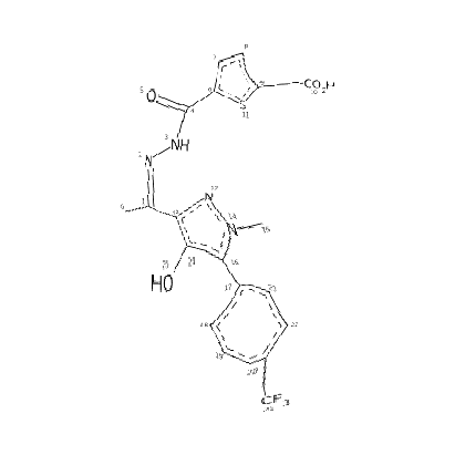 C/C(=N/NC(=O)c1ccc(C(=O)O)s1)c1nn(C)c(-c2ccc(C(F)(F)F)cc2)c1O